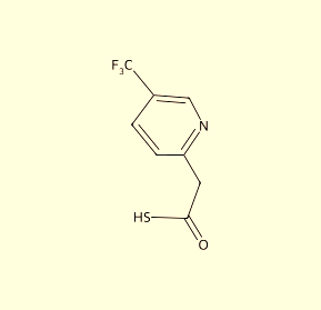 O=C(S)Cc1ccc(C(F)(F)F)cn1